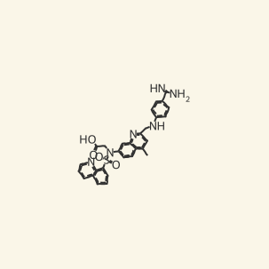 Cc1cc(CNc2ccc(C(=N)N)cc2)nc2cc(N(CC(=O)O)S(=O)(=O)c3cccc4cccnc34)ccc12